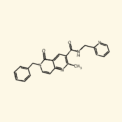 Cc1nc2ccn(Cc3ccccc3)c(=O)c2cc1C(=O)NCc1ccccn1